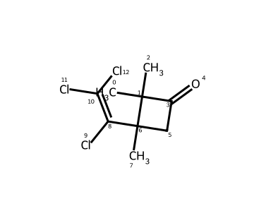 CC1(C)C(=O)CC1(C)C(Cl)=C(Cl)Cl